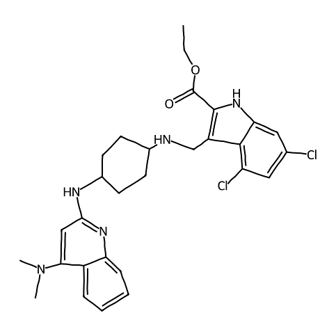 CCOC(=O)c1[nH]c2cc(Cl)cc(Cl)c2c1CNC1CCC(Nc2cc(N(C)C)c3ccccc3n2)CC1